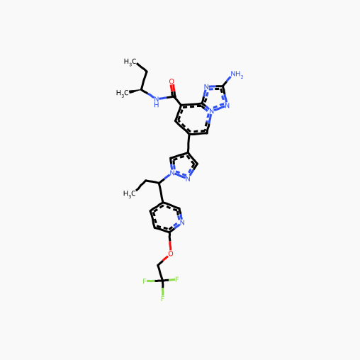 CCC(c1ccc(OCC(F)(F)F)nc1)n1cc(-c2cc(C(=O)N[C@@H](C)CC)c3nc(N)nn3c2)cn1